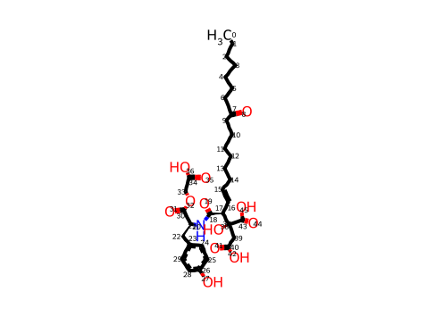 CCCCCCCC(=O)CCCCCC/C=C/[C@H](C(=O)N[C@@H](Cc1ccc(O)cc1)C(=O)OCC(=O)O)[C@@](O)(CC(=O)O)C(=O)O